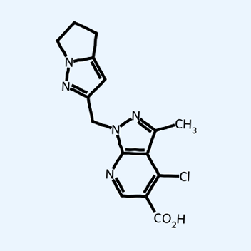 Cc1nn(Cc2cc3n(n2)CCC3)c2ncc(C(=O)O)c(Cl)c12